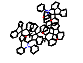 CC1(C)c2ccccc2C2(c3ccccc3-c3ccccc32)c2ccc(-c3ccccc3N(c3ccccc3)c3cccc4c3-c3ccccc3C4(c3ccccc3)c3ccc(-c4cccc(C5(c6ccccc6)c6ccccc6-c6cccc(N(c7ccccc7)c7ccc(-c8ccc9c(c8)C8(c%10ccccc%10-c%10ccccc%108)c8ccccc8C9(C)C)cc7)c65)c4)cc3)cc21